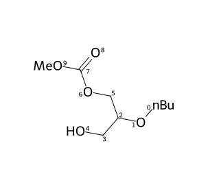 CCCCOC(CO)COC(=O)OC